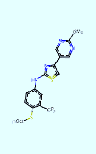 CCCCCCCCSc1ccc(Nc2nc(-c3cnc(OC)nc3)cs2)cc1C(F)(F)F